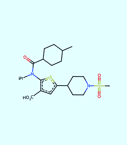 CC1CCC(C(=O)N(c2sc(C3CCN(S(C)(=O)=O)CC3)cc2C(=O)O)C(C)C)CC1